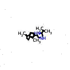 C=C1CCc2c1ccc(C1CNCC(C(=C)C)N1)c2C